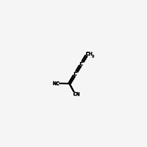 C=C=C=C(C#N)C#N